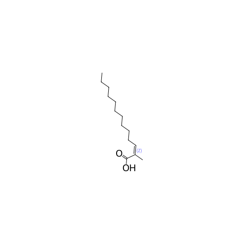 CCCCCCCCCC/C=C(/C)C(=O)O